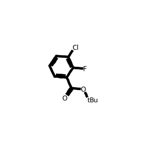 CC(C)(C)OC(=O)c1cccc(Cl)c1F